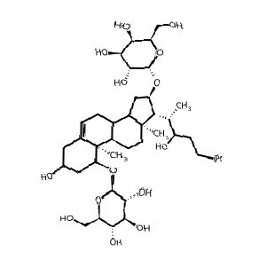 CC(C)CCC(O)[C@@H](C)[C@H]1[C@H](O[C@H]2O[C@H](CO)[C@H](O)[C@H](O)[C@H]2O)CC2C3CC=C4CC(O)CC(O[C@@H]5O[C@H](CO)[C@@H](O)[C@H](O)[C@H]5O)[C@]4(C)C3CC[C@@]21C